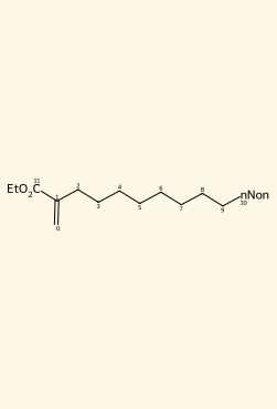 C=C(CCCCCCCCCCCCCCCCC)C(=O)OCC